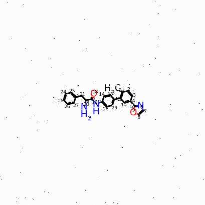 Cc1ccc(-c2ncco2)cc1-c1ccc(NC(=O)C(N)Cc2ccccc2)cc1